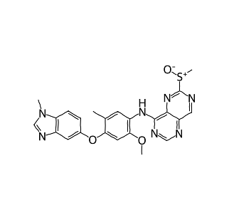 COc1cc(Oc2ccc3c(c2)ncn3C)c(C)cc1Nc1ncnc2cnc([S+](C)[O-])nc12